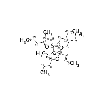 CC=C[Si](OCCCC)(OCCCC)C(CC)[Si](C=CC)(OCCCC)OCCCC